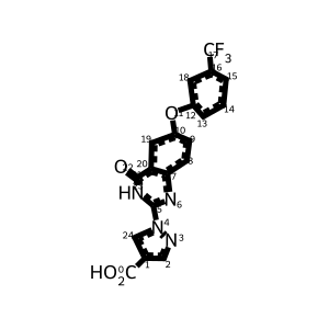 O=C(O)c1cnn(-c2nc3ccc(Oc4cccc(C(F)(F)F)c4)cc3c(=O)[nH]2)c1